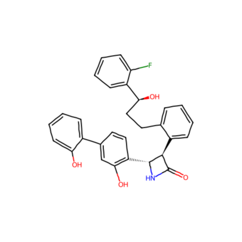 O=C1N[C@H](c2ccc(-c3ccccc3O)cc2O)[C@H]1c1ccccc1CC[C@H](O)c1ccccc1F